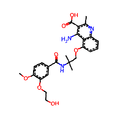 COc1ccc(C(=O)NC(C)(C)COc2cccc3nc(C)c(C(=O)O)c(N)c23)cc1OCCO